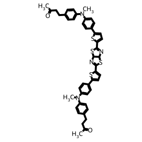 CC(=O)CCc1ccc(N(C)c2ccc(-c3ccc(C4=NC5SC(c6ccc(-c7ccc(N(C)c8ccc(CCC(C)=O)cc8)cc7)s6)=NC5S4)s3)cc2)cc1